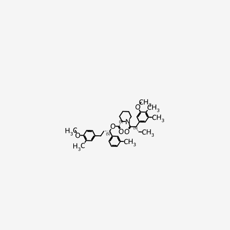 CC[C@H](C(=O)N1CCCC[C@H]1C(=O)O[C@@H](CCc1ccc(OC)c(C)c1)c1cccc(C)c1)c1cc(C)c(C)c(OC)c1